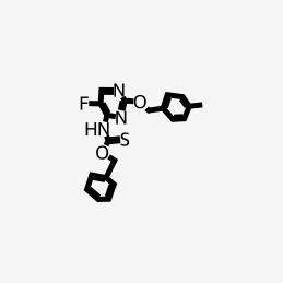 Cc1ccc(COc2ncc(F)c(NC(=S)OCc3ccccc3)n2)cc1